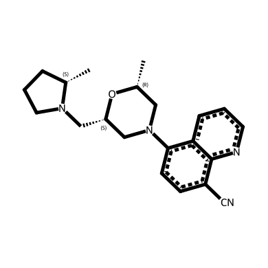 C[C@@H]1CN(c2ccc(C#N)c3ncccc23)C[C@H](CN2CCC[C@@H]2C)O1